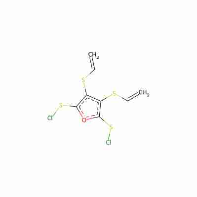 C=CSc1c(SCl)oc(SCl)c1SC=C